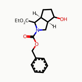 CCOC(=O)C1[C@H]2CCC(O)[C@H]2CN1C(=O)OCc1ccccc1